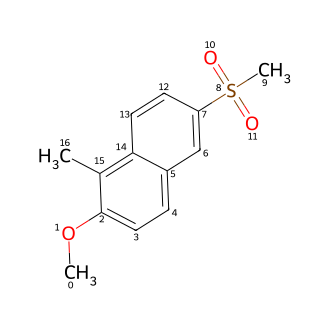 COc1ccc2cc(S(C)(=O)=O)ccc2c1C